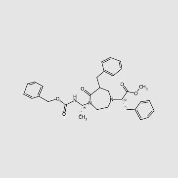 COC(=O)[C@H](Cc1ccccc1)N1CCN([C@H](C)NC(=O)OCc2ccccc2)C(=O)C(Cc2ccccc2)C1